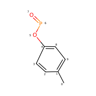 Cc1ccc(OP=O)cc1